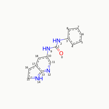 O=C(Nc1ccccc1)Nc1cnc2[nH]ccc2c1